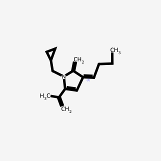 C=C(C)c1c/c(=C/CCC)c(=C)n1CC1CC1